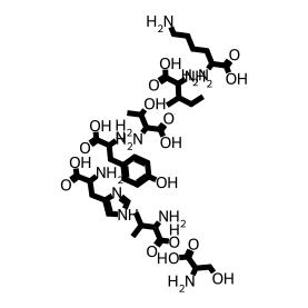 CC(C)C(N)C(=O)O.CC(O)C(N)C(=O)O.CCC(C)C(N)C(=O)O.NC(CO)C(=O)O.NC(Cc1c[nH]cn1)C(=O)O.NC(Cc1ccc(O)cc1)C(=O)O.NCCCCC(N)C(=O)O